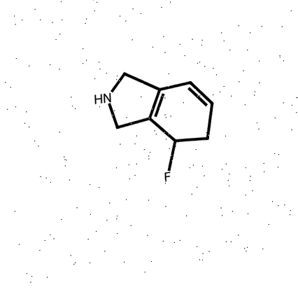 FC1CC=CC2=C1CNC2